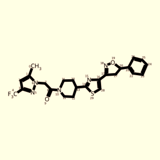 Cc1cc(C(F)(F)F)nn1CC(=O)N1CCC(c2nc(C3=NOC(c4ccccc4)C3)cs2)CC1